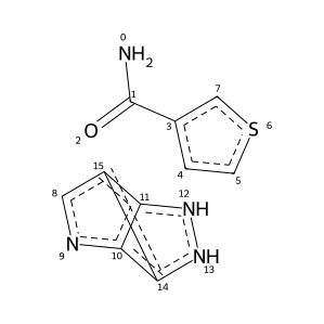 NC(=O)c1ccsc1.c1nc2c3[nH][nH]c2c13